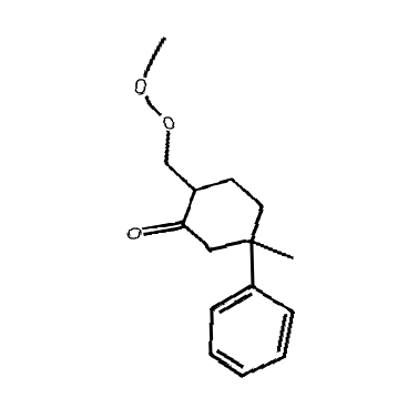 COOCC1CCC(C)(c2ccccc2)CC1=O